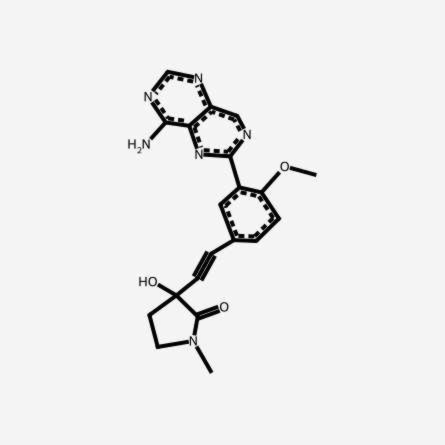 COc1ccc(C#CC2(O)CCN(C)C2=O)cc1-c1ncc2ncnc(N)c2n1